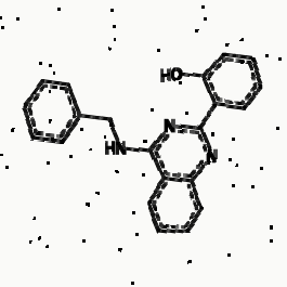 Oc1ccccc1-c1nc(NCc2ccccc2)c2ccccc2n1